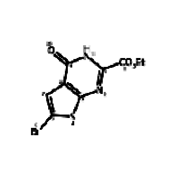 CCOC(=O)c1nc2sc(Br)cc2c(=O)[nH]1